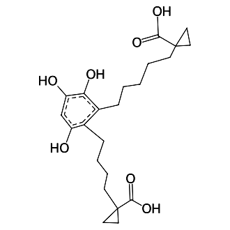 O=C(O)C1(CCCCCc2c(O)c(O)cc(O)c2CCCCC2(C(=O)O)CC2)CC1